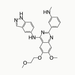 CNc1cccc(-c2nc(Nc3ccc4[nH]ncc4c3)c3cc(OCCOC)c(OC)cc3n2)c1